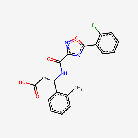 Cc1ccccc1[C@H](CC(=O)O)NC(=O)c1noc(-c2ccccc2F)n1